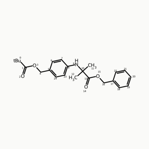 CC(C)(C)C(=O)OCc1ccc(NC(C)(C)C(=O)OCc2ccccc2)cc1